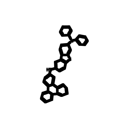 c1ccc(N(c2ccccc2)c2ccc3c(c2)sc2ccc(Nc4ccc5c6ccccc6c6ccccc6c5c4)cc23)cc1